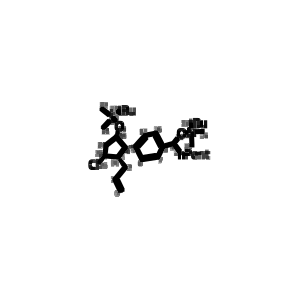 C=CC[C@@H]1[C@@H](c2ccc(C(CCCCC)O[Si](C)(C)C(C)(C)C)cc2)[C@H](O[Si](C)(C)C(C)(C)C)C[C@@H]1Cl